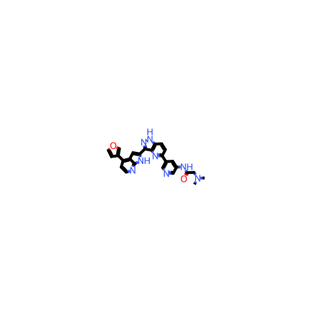 CN(C)CC(=O)Nc1cncc(-c2ccc3[nH]nc(-c4cc5c(-c6ccoc6)ccnc5[nH]4)c3n2)c1